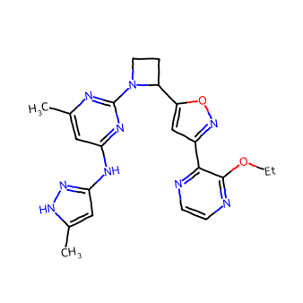 CCOc1nccnc1-c1cc(C2CCN2c2nc(C)cc(Nc3cc(C)[nH]n3)n2)on1